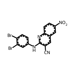 N#Cc1cc2cc([N+](=O)[O-])ccc2nc1Nc1ccc(Br)c(Br)c1